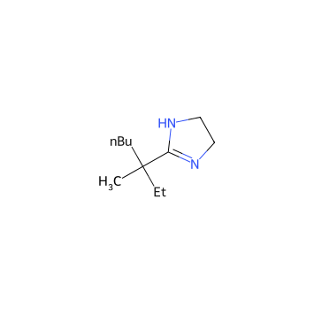 CCCCC(C)(CC)C1=NCCN1